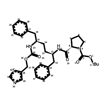 CC(C)(C)OC(=O)N1CCC[C@H]1C(=O)N[C@H](CC[C@H](Cc1ccccc1)NC(=O)OCc1cncs1)Cc1ccccc1